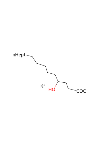 CCCCCCCCCCCCC(O)CCC(=O)[O-].[K+]